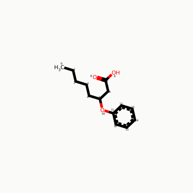 CCCCCC(CC(=O)O)Oc1ccccc1